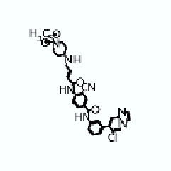 CS(=O)(=O)N1CCC(NCC=CC(=O)Nc2ccc(C(=O)Nc3cccc(-c4cc5nccn5cc4Cl)c3)cc2C#N)CC1